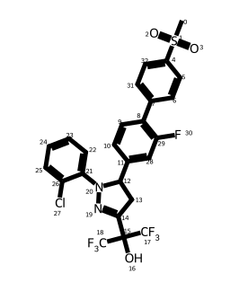 CS(=O)(=O)c1ccc(-c2ccc(C3CC(C(O)(C(F)(F)F)C(F)(F)F)=NN3c3ccccc3Cl)cc2F)cc1